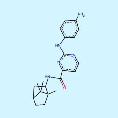 CC1(C)C2CCC1(C)C(NC(=O)c1ccnc(Nc3ccc(N)cc3)n1)C2